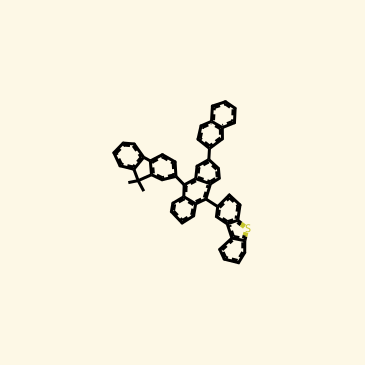 CC1(C)c2ccccc2-c2ccc(-c3c4ccccc4c(-c4ccc5sc6ccccc6c5c4)c4ccc(-c5ccc6ccccc6c5)cc34)cc21